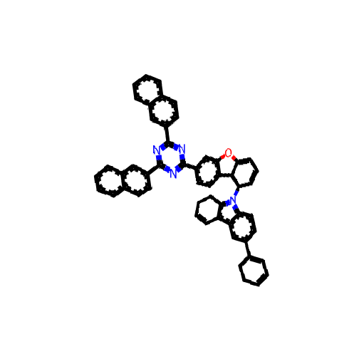 C1=CCCC(c2ccc3c(c2)c2c(n3C3C=CC=C4Oc5cc(-c6nc(-c7ccc8ccccc8c7)nc(-c7ccc8ccccc8c7)n6)ccc5C43)CCC=C2)=C1